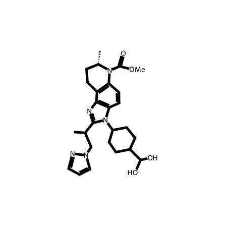 COC(=O)N1c2ccc3c(nc(C(C)Cn4cccn4)n3C3CCC(C(O)O)CC3)c2CC[C@@H]1C